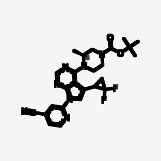 C[C@H]1CN(C(=O)OC(C)(C)C)CCN1c1ncnc2c1c(C1CC1(F)F)cn2-c1cc(C#N)ccn1